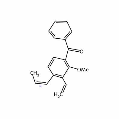 C=Cc1c(/C=C\C)ccc(C(=O)c2ccccc2)c1OC